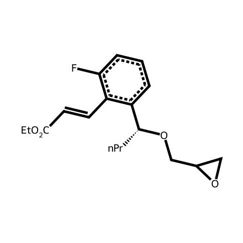 CCC[C@@H](OCC1CO1)c1cccc(F)c1/C=C/C(=O)OCC